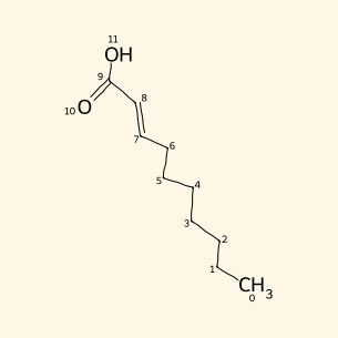 CCCCCCCC=CC(=O)O